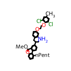 CCCCCc1ccccc1-c1ccc(C(CN)Cc2ccc(OCCOc3c(Cl)cc(C)cc3Cl)cc2)cc1C(=O)OC